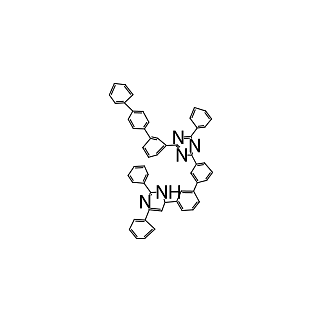 C1=C(c2ccccc2)N=C(c2ccccc2)NC1c1cccc(-c2cccc(-c3nc(-c4ccccc4)nc(-c4cccc(-c5ccc(-c6ccccc6)cc5)c4)n3)c2)c1